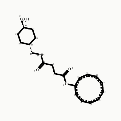 O=C(CCC(=O)Oc1ccccccccc1)NC[C@H]1CC[C@H](C(=O)O)CC1